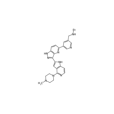 CCNCc1cncc(-c2ccc3[nH]nc(-c4cc5c(N6CCN(C)CC6)nccc5[nH]4)c3n2)c1